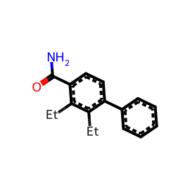 CCc1c(C(N)=O)ccc(-c2ccccc2)c1CC